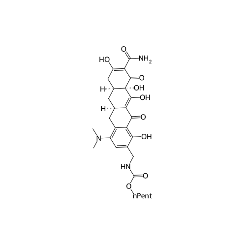 CCCCCOC(=O)NCc1cc(N(C)C)c2c(c1O)C(=O)C1=C(O)[C@]3(O)C(=O)C(C(N)=O)=C(O)C[C@@H]3C[C@@H]1C2